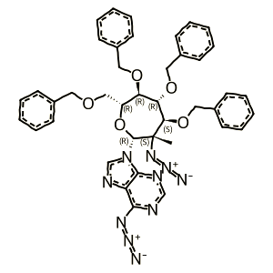 C[C@]1(N=[N+]=[N-])[C@H](OCc2ccccc2)[C@@H](OCc2ccccc2)[C@H](OCc2ccccc2)[C@@H](COCc2ccccc2)O[C@H]1n1cnc2c(N=[N+]=[N-])ncnc21